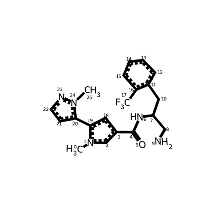 Cn1cc(C(=O)NC(CN)Cc2ccccc2C(F)(F)F)cc1-c1ccnn1C